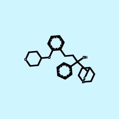 OC(CCc1ccccc1OC1CCOCC1)(c1ccccc1)C1CN2CCC1CC2